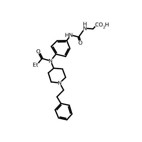 CCC(=O)N(c1ccc(NC(=O)NCC(=O)O)cc1)C1CCN(CCc2ccccc2)CC1